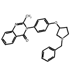 Cc1nc2ccccc2c(=O)n1-c1ccc(OC2CCN(Cc3ccccc3)C2)cc1